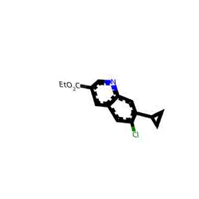 CCOC(=O)c1cnc2cc(C3CC3)c(Cl)cc2c1